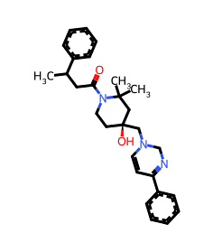 CC(CC(=O)N1CC[C@@](O)(CN2C=CC(c3ccccc3)=NC2)CC1(C)C)c1ccccc1